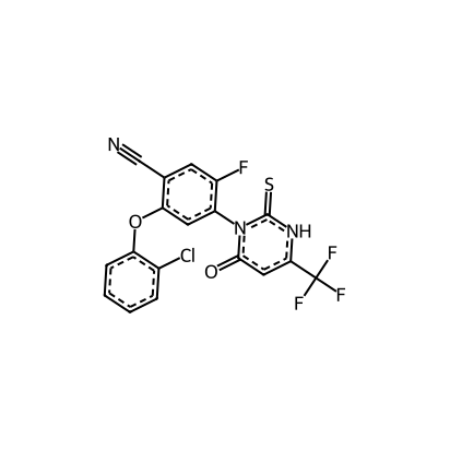 N#Cc1cc(F)c(-n2c(=O)cc(C(F)(F)F)[nH]c2=S)cc1Oc1ccccc1Cl